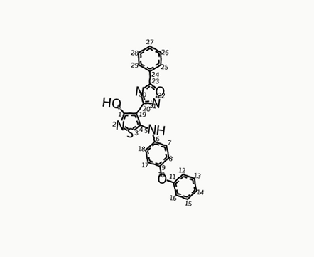 Oc1nsc(Nc2ccc(Oc3ccccc3)cc2)c1-c1noc(-c2ccccc2)n1